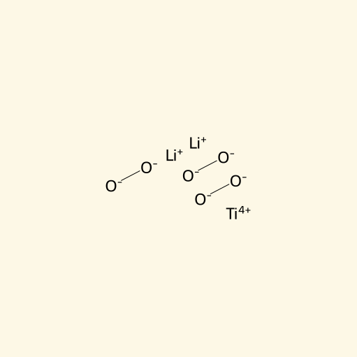 [Li+].[Li+].[O-][O-].[O-][O-].[O-][O-].[Ti+4]